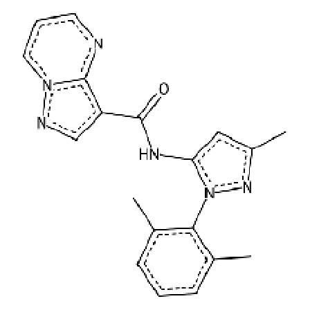 Cc1cc(NC(=O)c2cnn3cccnc23)n(-c2c(C)cccc2C)n1